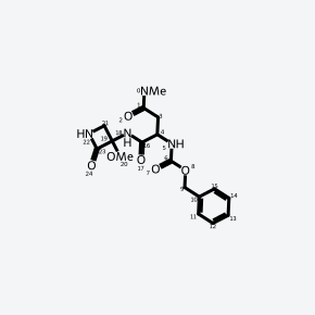 CNC(=O)CC(NC(=O)OCc1ccccc1)C(=O)NC1(OC)CNC1=O